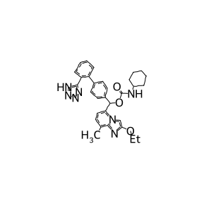 CCOc1cn2c(C(OC(=O)NC3CCCCC3)c3ccc(-c4ccccc4-c4nnn[nH]4)cc3)ccc(C)c2n1